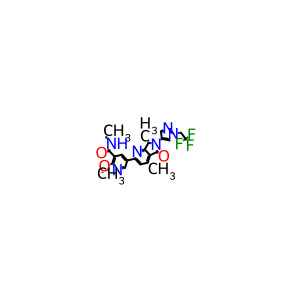 CCNC(=O)c1cc(-c2cc(C)c3c(n2)C(C)N(c2cnn(CC(F)(F)F)c2)C3=O)cnc1OC